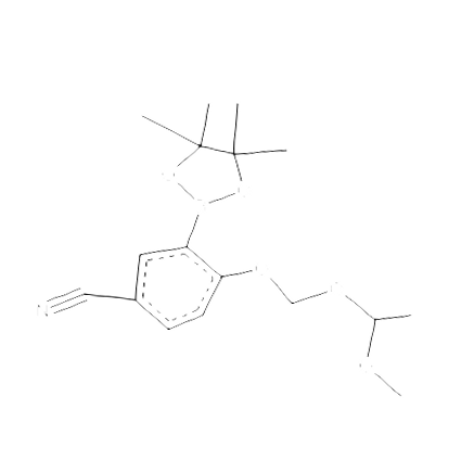 COC(C)OCOc1ccc(C#N)cc1B1OC(C)(C)C(C)(C)O1